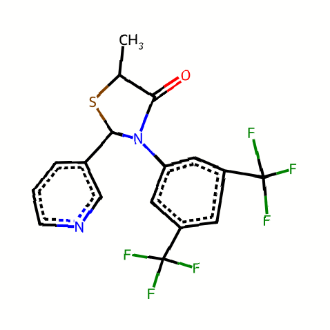 CC1SC(c2cccnc2)N(c2cc(C(F)(F)F)cc(C(F)(F)F)c2)C1=O